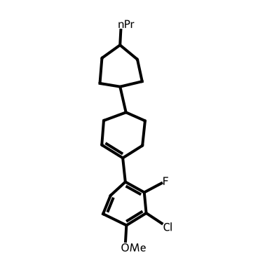 CCCC1CCC(C2CC=C(c3ccc(OC)c(Cl)c3F)CC2)CC1